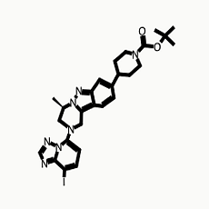 C[C@@H]1CN(c2ccc(I)c3ncnn23)Cc2c3ccc(C4CCN(C(=O)OC(C)(C)C)CC4)cc3nn21